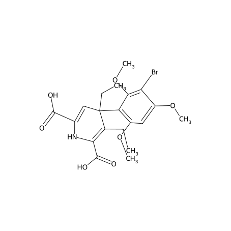 CCC1=C(C(=O)O)NC(C(=O)O)=CC1(CC)c1c(OC)cc(OC)c(Br)c1OC